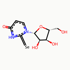 O=c1ccn([C@@H]2O[C@H](CO)[C@@H](O)[C@H]2O)c(=[Se])[nH]1